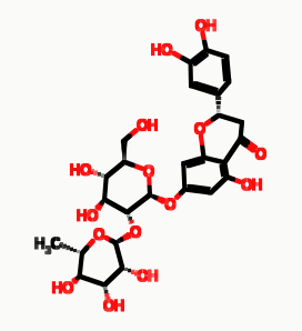 C[C@@H]1O[C@@H](O[C@H]2[C@H](Oc3cc(O)c4c(c3)O[C@H](c3ccc(O)c(O)c3)CC4=O)O[C@H](CO)[C@@H](O)[C@@H]2O)[C@H](O)[C@H](O)[C@H]1O